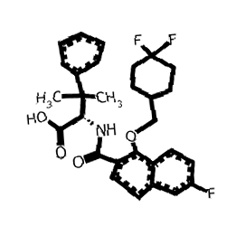 CC(C)(c1ccccc1)[C@H](NC(=O)c1ccc2cc(F)ccc2c1OCC1CCC(F)(F)CC1)C(=O)O